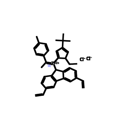 C=Cc1ccc2c(c1)-c1cc(C=C)ccc1[CH]2/[Zr+2]([C]1=CC(C(C)(C)C)=CC1CC)=[C](\C)c1ccc(C)cc1.[Cl-].[Cl-]